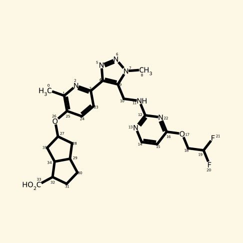 Cc1nc(-c2nnn(C)c2CNc2nccc(OCC(F)F)n2)ccc1OC1CC2CCC(C(=O)O)C2C1